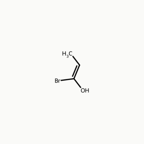 CC=C(O)Br